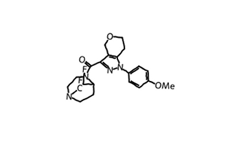 COc1ccc(-n2nc(C(=O)N3CCN4CCC3C(F)(F)C4)c3c2CCOC3)cc1